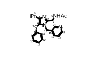 CC(=O)NCc1nc(C(C)C)c(Sc2ccccc2)n1Cc1cccnc1